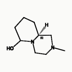 CN1CCN2C(O)CCC[C@H]2C1